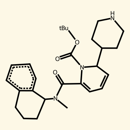 CN(C(=O)C1=CC=CC(C2CCNCC2)N1C(=O)OC(C)(C)C)C1CCCc2ccccc21